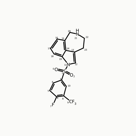 O=S(=O)(c1ccc(F)c(C(F)(F)F)c1)n1cc2c3c(cccc31)CNCC2